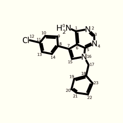 Nc1ncnc2c1c(-c1ccc(Cl)cc1)cn2Cc1ccccc1